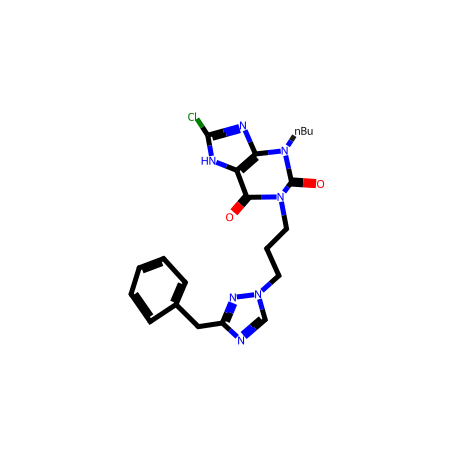 CCCCn1c(=O)n(CCCn2cnc(Cc3ccccc3)n2)c(=O)c2[nH]c(Cl)nc21